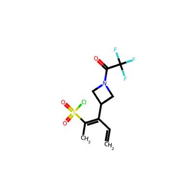 C=C/C(=C(\C)S(=O)(=O)Cl)C1CN(C(=O)C(F)(F)F)C1